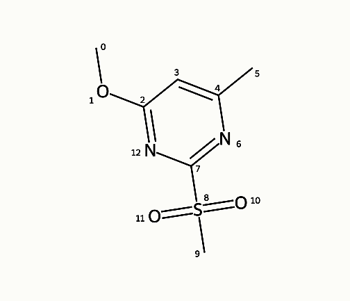 COc1cc(C)nc(S(C)(=O)=O)n1